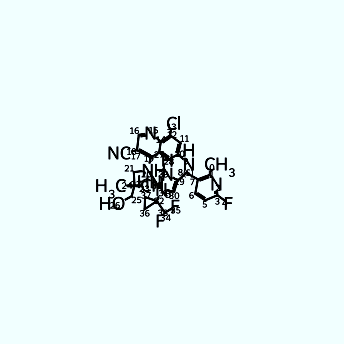 Cc1nc(F)ccc1[C@H](Nc1cc(Cl)c2ncc(C#N)c(NCC(C)(C)CO)c2c1)C1=CN(C2(C(F)F)CC2)NN1